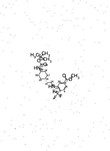 COC(=O)c1ccc(C(F)(F)F)c(NCC[C@H]2CC[C@H](NC(=O)OC(C)(C)C)CC2)c1